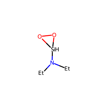 CCN(CC)[SiH]1OO1